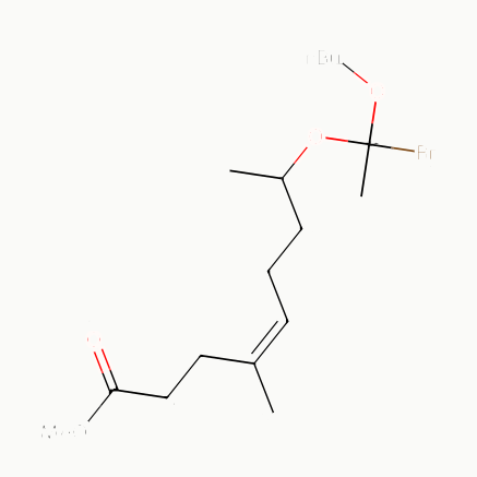 CCCCOC(C)(Br)OC(C)CCC=C(C)CCC(=O)OC